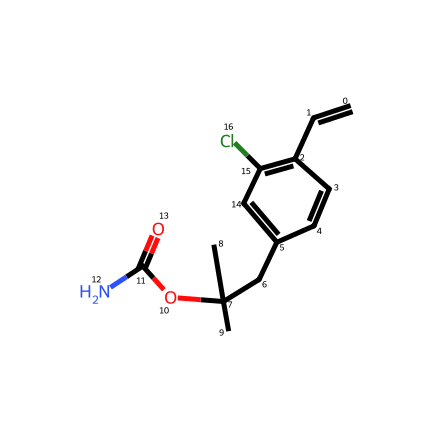 C=Cc1ccc(CC(C)(C)OC(N)=O)cc1Cl